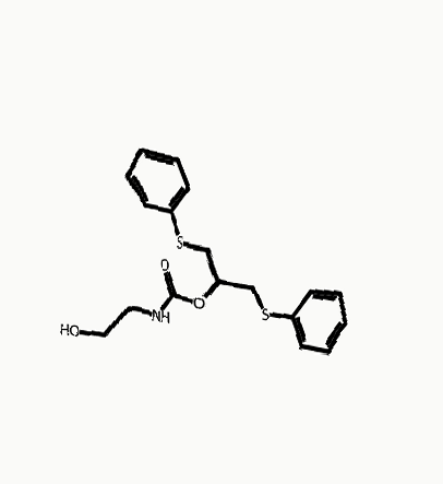 O=C(NCCO)OC(CSc1ccccc1)CSc1ccccc1